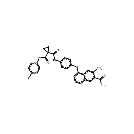 Cc1cc2c(Oc3ccc(NC(=O)C4(C(=O)Nc5ccc(F)cc5)CC4)cc3)ccnc2cc1C(N)=O